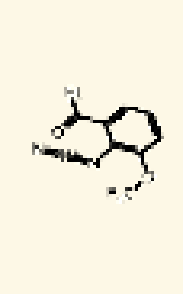 CCC(=O)c1cccc(OC(F)(F)F)c1N=[N+]=[N-]